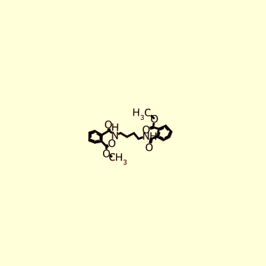 COC(=O)c1ccccc1C(=O)NCCCCNC(=O)c1ccccc1C(=O)OC